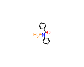 O=C(c1ccccc1)N(P)c1ccccc1